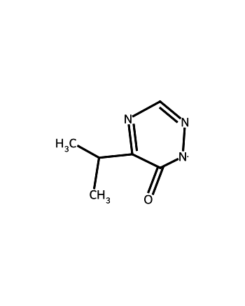 CC(C)C1=NC=N[N]C1=O